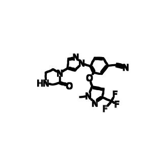 Cn1nc(C(F)(F)F)cc1Oc1cc(C#N)ccc1-n1cc(N2CCNCC2=O)cn1